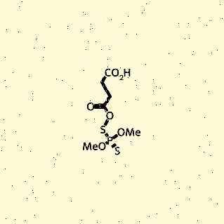 COP(=S)(OC)SOC(=O)CCC(=O)O